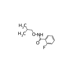 CC(C)CONC(=O)c1ccccc1F